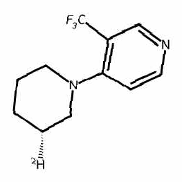 [2H][C@@H]1CCCN(c2ccncc2C(F)(F)F)C1